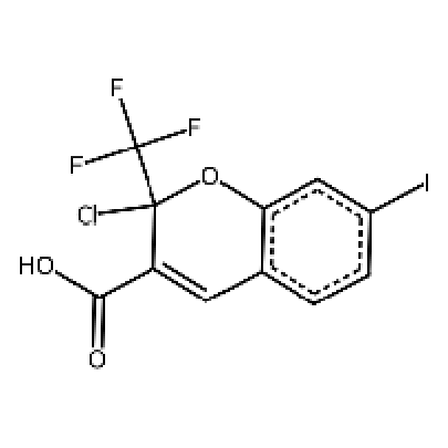 O=C(O)C1=Cc2ccc(I)cc2OC1(Cl)C(F)(F)F